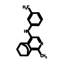 Cc1cccc(Nc2cnc(C)c3c2C2CCC3CC2)c1